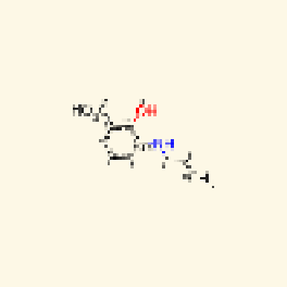 C=CCNc1cccc(C(=O)O)c1O